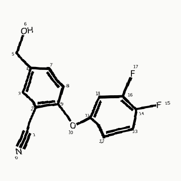 N#Cc1cc(CO)ccc1Oc1ccc(F)c(F)c1